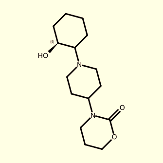 O=C1OCCCN1C1CCN(C2CCCC[C@@H]2O)CC1